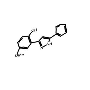 COc1ccc(O)c(-c2cc(-c3ccccc3)[nH]n2)c1